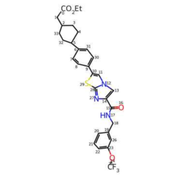 CCOC(=O)CC1CCC(c2ccc(-c3cn4cc(C(=O)NCc5cccc(OC(F)(F)F)c5)nc4s3)cc2)CC1